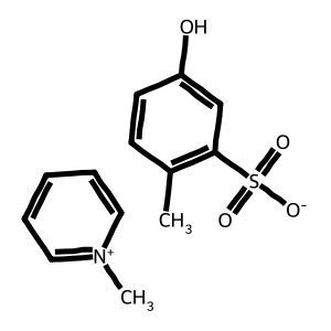 C[n+]1ccccc1.Cc1ccc(O)cc1S(=O)(=O)[O-]